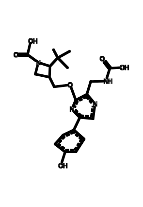 CC(C)(C)C1C(COc2nc(-c3ccc(O)cc3)cnc2CNC(=O)O)CN1C(=O)O